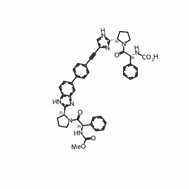 COC(=O)N[C@@H](C(=O)N1CCC[C@H]1c1nc2cc(-c3ccc(C#Cc4c[nH]c([C@@H]5CCCN5C(=O)[C@H](NC(=O)O)c5ccccc5)n4)cc3)ccc2[nH]1)c1ccccc1